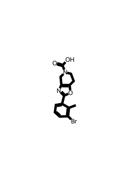 Cc1c(Br)cccc1-c1nc2c(o1)CCN(C(=O)O)C2